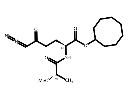 CO[C@@H](C)C(=O)N[C@@H](CCC(=O)C=[N+]=[N-])C(=O)OC1CCCCCCC1